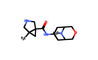 CN1C2COCC1CC(NC(=O)C13CNCC1(C(F)(F)F)C3)C2